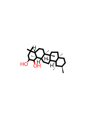 C[C@@H]1[C@H]2[C@H]3CC[C@@H]4[C@@]5(C)C(O)C(O)CC(C)(C)[C@@H]5CC[C@@]4(C)[C@]3(C)CC[C@@]2(C)CC[C@H]1C